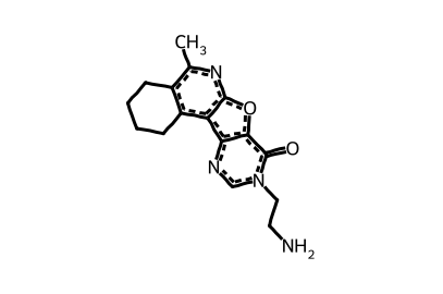 Cc1nc2oc3c(=O)n(CCN)cnc3c2c2c1CCCC2